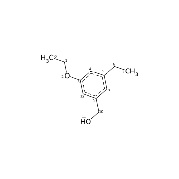 CCOc1cc(CC)cc(CO)c1